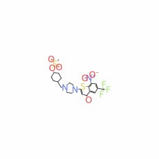 CS(=O)(=O)OC1CCC(CN2CCN(c3cc(=O)c4cc(C(F)(F)F)cc([N+](=O)[O-])c4s3)CC2)CC1